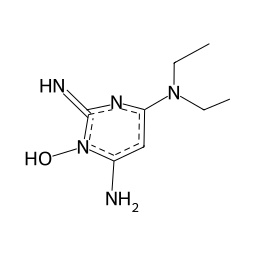 CCN(CC)c1cc(N)n(O)c(=N)n1